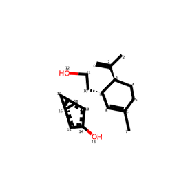 C=C(C)[C@H]1CCC(C)=C[C@@H]1CCO.Oc1cc2cc-2c1